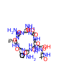 CC(C)C[C@@H]1NC(=O)[C@@H](Cc2ccccc2)NC(=O)[C@H](CCN)NC(=O)[C@@H](NC(=O)[C@@H](CO)NC(=O)[C@@H]2CC(C)(C)C(=O)N2)CCNC(=O)[C@H]([C@@H](C)O)NC(=O)[C@H](CCN)NC(=O)[C@H](CCN)NC1=O